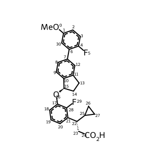 COc1ccc(F)c(-c2ccc3c(c2)CC[C@H]3Oc2cccc([C@@H](CC(=O)O)C3CC3)c2F)c1